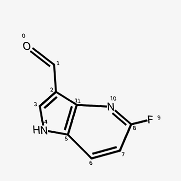 O=Cc1c[nH]c2ccc(F)nc12